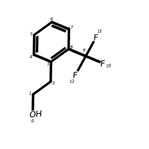 OCCc1ccc[c]c1C(F)(F)F